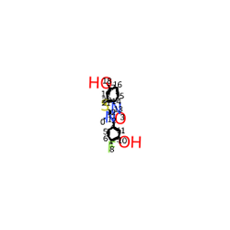 CN(C(=O)c1ccc(F)c(O)c1)c1nc2ccc(O)cc2s1